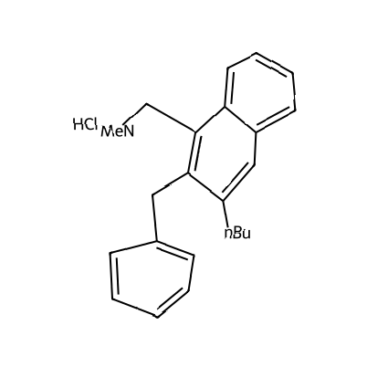 CCCCc1cc2ccccc2c(CNC)c1Cc1ccccc1.Cl